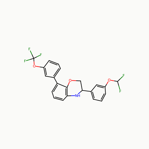 FC(F)Oc1cccc(C2COc3c(cccc3-c3cccc(OC(F)(F)F)c3)N2)c1